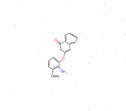 COc1cccc(OC2=Cc3ccccc3C(=O)C2)c1N